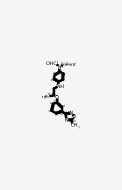 CCCCCN(C=O)c1ccc(NCC(CCC)Oc2cccc(-c3noc(C)n3)c2)cc1